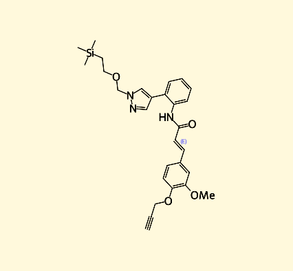 C#CCOc1ccc(/C=C/C(=O)Nc2ccccc2-c2cnn(COCC[Si](C)(C)C)c2)cc1OC